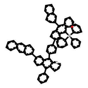 c1ccc(-c2c3ccccc3c(-c3ccc(-c4ccc5c(-c6ccc7ccccc7c6)c6ccccc6c([Si](c6ccccc6)(c6ccccc6)c6ccccc6)c5c4)cc3)c3cc(-c4ccc5cc6ccccc6cc5c4)ccc23)cc1